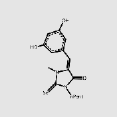 CCCCCN1C(=O)C(=Cc2cc(O)cc(O)c2)N(C)C1=[Se]